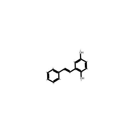 Oc1ccc(O)c(C=Cc2ccccc2)c1